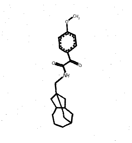 COc1ccc(C(=O)C(=O)NCC23CC4CCCC(C2)C(C4)C3)cc1